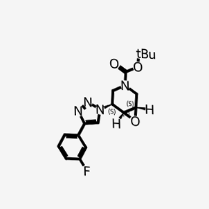 CC(C)(C)OC(=O)N1C[C@@H]2O[C@@H]2[C@@H](n2cc(-c3cccc(F)c3)nn2)C1